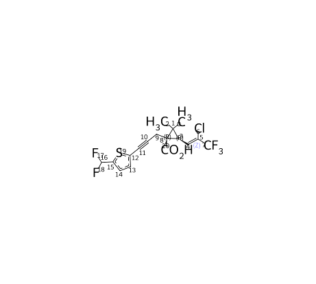 CC1(C)[C@@H](/C=C(\Cl)C(F)(F)F)[C@@]1(CC#Cc1ccc(C(F)F)s1)C(=O)O